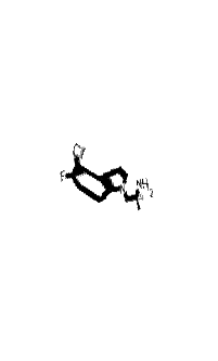 C[C@H](N)Cn1ccc2c(Cl)c(F)ccc21